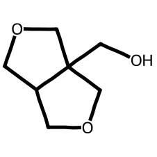 OCC12COCC1COC2